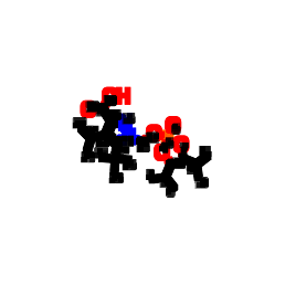 CC(C)COP(=O)(OCC(C)C)OCn1nc(C(=O)O)c(C(C)C)c1C(C)(C)C